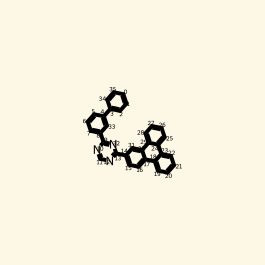 c1ccc(-c2cccc(-c3ncnc(-c4ccc5c6ccccc6c6ccccc6c5c4)n3)c2)cc1